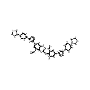 O=Cc1cc(-c2nc(-c3ccc(N4CCCC4)cc3)ns2)cc(F)c1OC(=O)Oc1c(F)cc(-c2nc(-c3ccc(N4CCCC4)cc3)ns2)cc1C=O